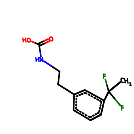 CC(F)(F)c1cccc(CCNC(=O)O)c1